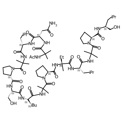 CC[C@H](C)[C@H](NC(=O)[C@H](CO)NC(=O)[C@@H]1CCCN1C(=O)C(C)(C)NC(=O)[C@H](CC(C)C)NC(=O)[C@H](CC(N)=O)NC(=O)C(C)(C)NC(C)=O)C(=O)NC(C)(C)C(=O)N1CCC[C@H]1C(=O)N[C@](C)(CC)C(=O)N[C@@H](CC(C)C)C(=O)NC(C)(C)C(=O)N1CCC[C@H]1C(=O)N[C@H](CO)CC(C)C